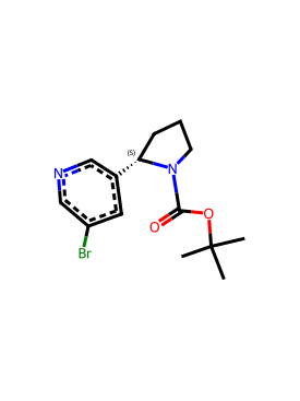 CC(C)(C)OC(=O)N1CCC[C@H]1c1cncc(Br)c1